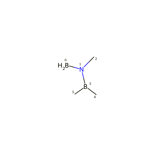 BN(C)B(C)C